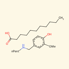 CCCCCCCCCCC(=O)O.CCCCCNCc1ccc(O)c(OC)c1